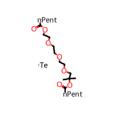 CCCCCC(=O)OCCOCCOCCOCC(C)(C)OC(=O)CCCCC.[Te]